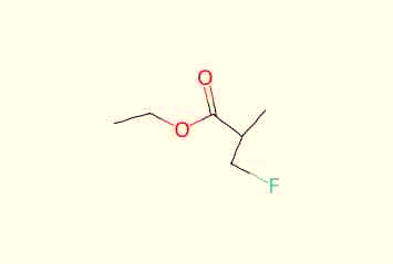 CCOC(=O)C(C)CF